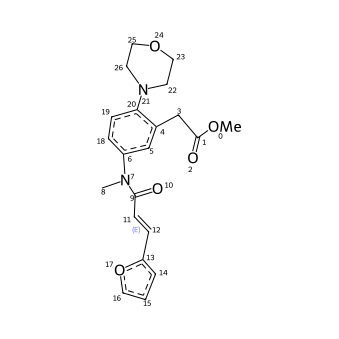 COC(=O)Cc1cc(N(C)C(=O)/C=C/c2ccco2)ccc1N1CCOCC1